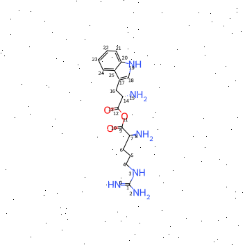 N=C(N)NCCC[C@H](N)C(=O)OC(=O)[C@@H](N)Cc1c[nH]c2ccccc12